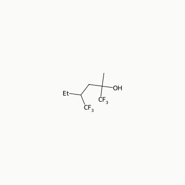 CCC(CC(C)(O)C(F)(F)F)C(F)(F)F